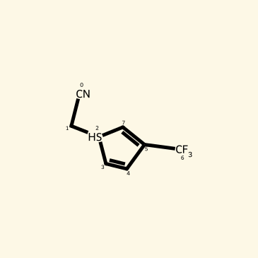 N#CC[SH]1C=CC(C(F)(F)F)=C1